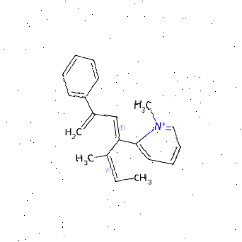 C=C(/C=C(\C(C)=C/C)c1cccc[n+]1C)c1ccccc1